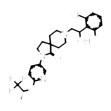 C[C@H](Oc1ccc(N2CCC3(CCN(CC(O)c4c(F)cccc4Cl)CC3)C2=O)cn1)C(F)(F)F